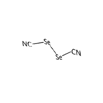 N#C[Se][Se]C#N